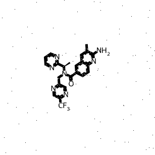 Cc1cc2cc(C(=O)N(Cc3cnc(C(F)(F)F)cn3)[C@H](C)c3ncccn3)ccc2nc1N